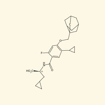 O=C(N[C@@H](CC1CC1)C(=O)O)c1cc(C2CC2)c(OCC23CC4CC(CC2C4)C3)cc1F